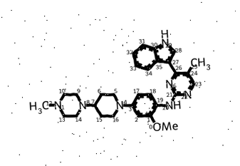 COc1cc(N2CCC(N3CCN(C)CC3)CC2)ccc1Nc1ncc(C)c(-c2c[nH]c3ccccc23)n1